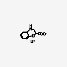 O=C([O-])C1CNc2ccccc2O1.[Li+]